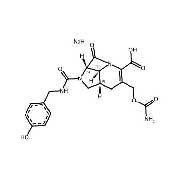 NC(=O)OCC1=C(C(=O)O)N2C(=O)[C@@H]3[C@H]2[C@H](C1)CN3C(=O)NCc1ccc(O)cc1.[NaH]